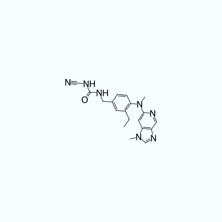 CCc1cc(CNC(=O)NC#N)ccc1N(C)c1cc2c(cn1)ncn2C